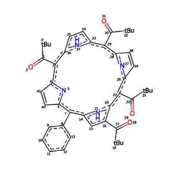 CC(C)(C)C(=O)c1c2nc(c(-c3ccccc3)c3cc(C(=O)C(C)(C)C)c([nH]3)c(C(=O)C(C)(C)C)c3nc(c(C(=O)C(C)(C)C)c4ccc1[nH]4)C=C3)C=C2